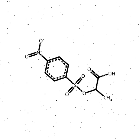 CC(OS(=O)(=O)c1ccc([N+](=O)[O-])cc1)C(=O)O